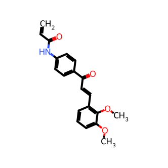 C=CC(=O)Nc1ccc(C(=O)/C=C/c2cccc(OC)c2OC)cc1